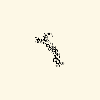 CC(C)(ON=C(C(=O)NC1CN(C(=O)NS(=O)(=O)N2CCN(NC(=O)c3cnc4cc(O)c(O)cn4c3=O)C2=O)C1=O)c1csc(N)n1)C(=O)O